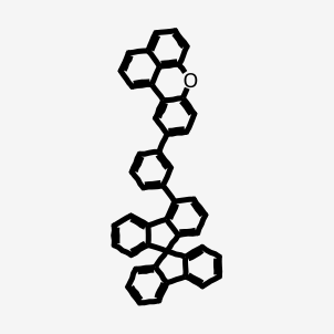 c1cc(-c2ccc3c(c2)-c2cccc4cccc(c24)O3)cc(-c2cccc3c2-c2ccccc2C32c3ccccc3-c3ccccc32)c1